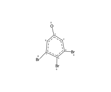 [O]c1cc(Br)c(Br)c(Br)c1